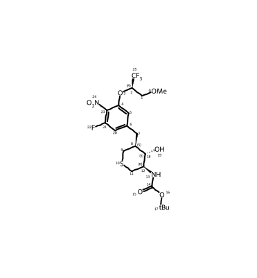 COC[C@@H](Oc1cc(C[C@@H]2CSC[C@H](NC(=O)OC(C)(C)C)[C@H]2O)cc(F)c1[N+](=O)[O-])C(F)(F)F